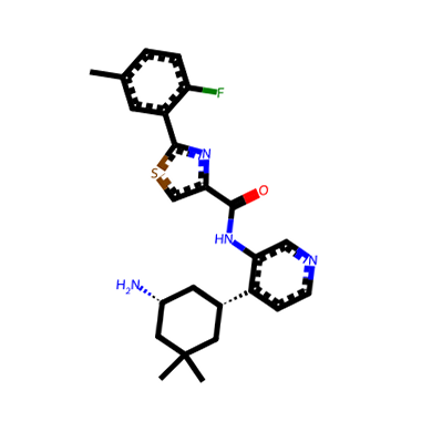 Cc1ccc(F)c(-c2nc(C(=O)Nc3cnccc3[C@H]3C[C@@H](N)CC(C)(C)C3)cs2)c1